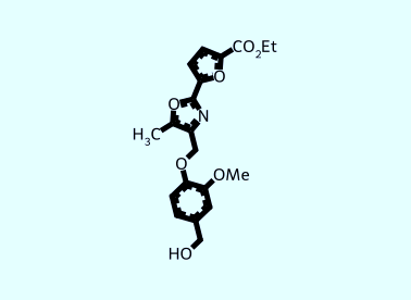 CCOC(=O)c1ccc(-c2nc(COc3ccc(CO)cc3OC)c(C)o2)o1